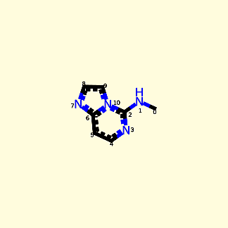 CNc1nccc2nccn12